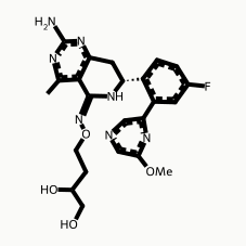 COc1cncc(-c2cc(F)ccc2[C@H]2Cc3nc(N)nc(C)c3/C(=N/OCCC(O)CO)N2)n1